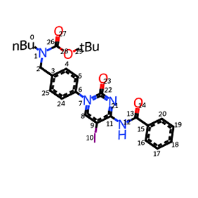 CCCCN(Cc1ccc(-n2cc(I)c(NC(=O)c3ccccc3)nc2=O)cc1)C(=O)OC(C)(C)C